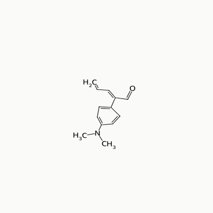 C=C/C=C(/C=O)c1ccc(N(C)C)cc1